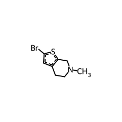 CN1CCc2cc(Br)sc2C1